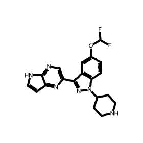 FC(F)Oc1ccc2c(c1)c(-c1cnc3[nH]ccc3n1)nn2C1CCNCC1